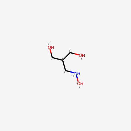 OCC(CO)CNO